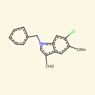 COc1cc2c(C=O)cn(Cc3ccccc3)c2cc1Cl